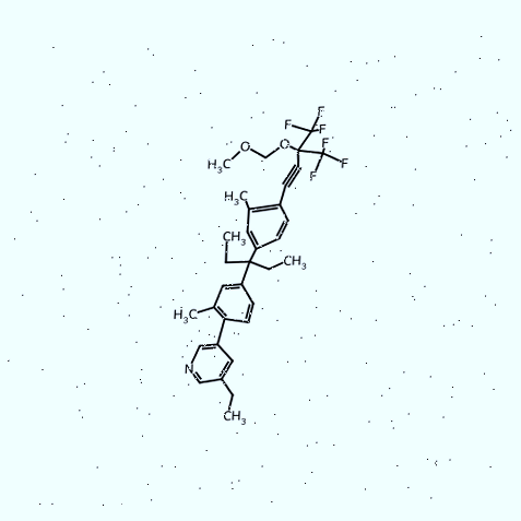 CCc1cncc(-c2ccc(C(CC)(CC)c3ccc(C#CC(OCOC)(C(F)(F)F)C(F)(F)F)c(C)c3)cc2C)c1